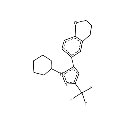 FC(F)(F)c1cc(-c2ccc3c(c2)CCCO3)n(C2CCCCC2)n1